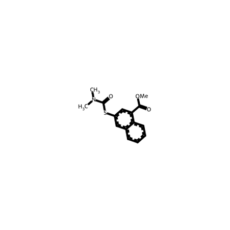 COC(=O)c1cc(SC(=O)N(C)C)cc2ccccc12